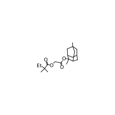 CCC(C)(C)C(=O)OCC(=O)OC1(C)C2CC3CC1CC(C)(C3)C2